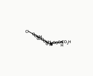 O=C(O)NCCOCCOCCOCCn1cc(CCC(=O)NCCOCCOCCOCC(=O)NCCOCCOCCCCCCCl)nn1